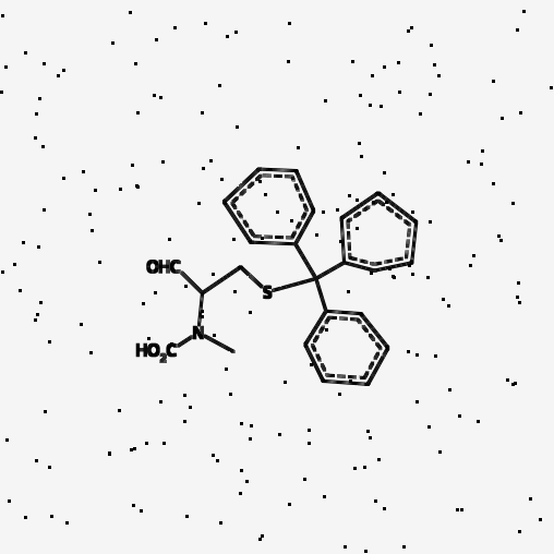 CN(C(=O)O)C(C=O)CSC(c1ccccc1)(c1ccccc1)c1ccccc1